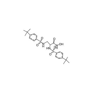 CC(C)(C)c1ccc(S(=O)(=O)NCC(NS(=O)(=O)c2ccc(C(C)(C)C)cc2)C(=O)NO)cc1